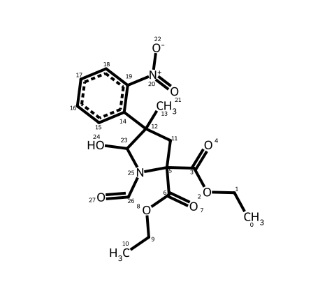 CCOC(=O)C1(C(=O)OCC)CC(C)(c2ccccc2[N+](=O)[O-])C(O)N1C=O